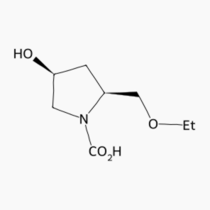 CCOC[C@@H]1C[C@H](O)CN1C(=O)O